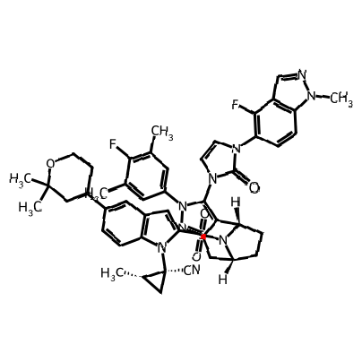 Cc1cc(-n2nc3c(c2-n2ccn(-c4ccc5c(cnn5C)c4F)c2=O)[C@@H]2CC[C@H](C3)N2S(=O)(=O)c2cc3cc(C4CCOC(C)(C)C4)ccc3n2[C@@]2(C#N)C[C@@H]2C)cc(C)c1F